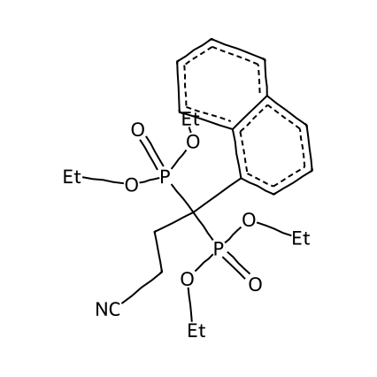 CCOP(=O)(OCC)C(CCC#N)(c1cccc2ccccc12)P(=O)(OCC)OCC